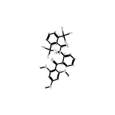 COc1cc(OC)c(C(=O)c2ccccc2[P](=O)C(=O)c2c(C(F)(F)F)cccc2C(F)(F)F)c(OC)c1